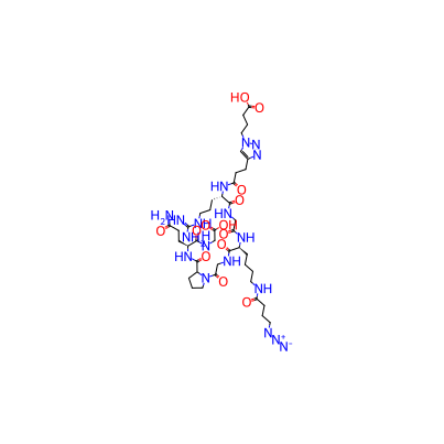 [N-]=[N+]=NCCCC(=O)NCCCC[C@H](NC(=O)CNC(=O)[C@H](CCCNC(=N)N)NC(=O)CCc1cn(CCCC(=O)O)nn1)C(=O)NCC(=O)N1CCCC1C(=O)N[C@@H](CCC(N)=O)C(=O)NCC(=O)O